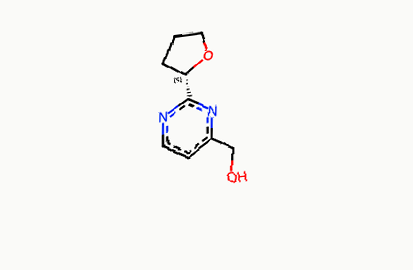 OCc1ccnc([C@@H]2CCCO2)n1